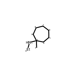 CCNC1(C)CCCCCC1